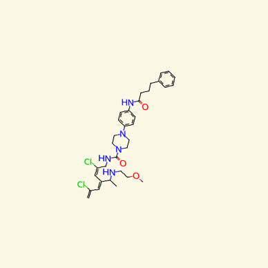 C=C(Cl)/C=C(\C=C(\Cl)CNC(=O)N1CCN(c2ccc(NC(=O)CCCc3ccccc3)cc2)CC1)C(C)NCCOC